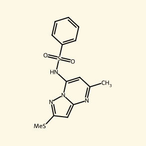 CSc1cc2nc(C)cc(NS(=O)(=O)c3ccccc3)n2n1